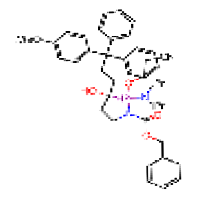 COc1ccc(C(CC[C@]2(O)CCN(C(=O)OCC3C=CC=CC3)[PH]2(OCCC#N)N(C(C)C)C(C)C)(c2ccccc2)c2ccccc2)cc1